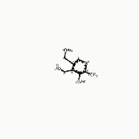 CC(=O)OCc1cnc(C)c(OC(C)=O)c1CO